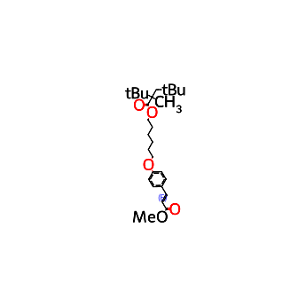 COC(=O)/C=C/c1ccc(OCCCCCCOC(=O)C(C)(CC(C)(C)C)C(C)(C)C)cc1